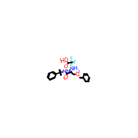 CC(C)(NC(=O)[C@@H](N)COCc1ccccc1)c1ccccc1.O=C(O)C(F)(F)F